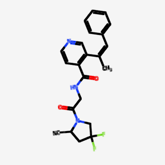 CC(=Cc1ccccc1)c1cnccc1C(=O)NCC(=O)N1CC(F)(F)CC1C#N